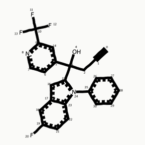 C#CCC(O)(c1ccnc(C(F)(F)F)c1)c1cc2cc(F)ccc2n1-c1ccccc1